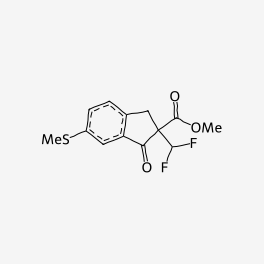 COC(=O)C1(C(F)F)Cc2ccc(SC)cc2C1=O